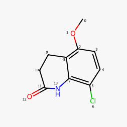 COc1ccc(Cl)c2c1CCC(=O)N2